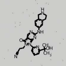 CC(C)(O)c1cccc(-n2c3nc(Nc4ccc5c(c4)CCNC5)ncc3c(=O)n2CCC#N)n1